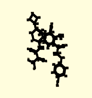 CN(C)C(=O)C(=O)NC12CCC(N3CCC3)(CC1)Cn1c2nc(C(=O)NCc2ccc(F)cc2)c(O)c1=O